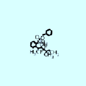 C=CC(C)C(F)(F)C(O)C(C)c1ccccc1NC(=O)OCc1ccccc1